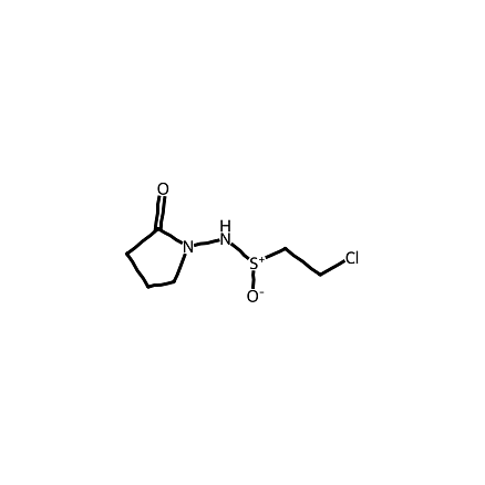 O=C1CCCN1N[S+]([O-])CCCl